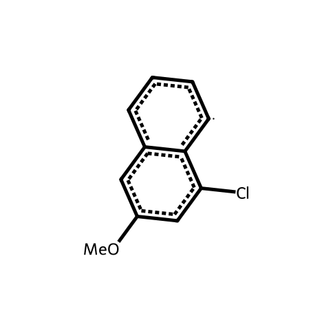 COc1cc(Cl)c2[c]cccc2c1